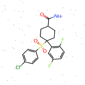 [NH]C(=O)C1CCC(c2cc(F)ccc2F)(S(=O)(=O)c2ccc(Cl)cc2)CC1